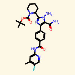 Cc1cc(NC(=O)c2ccc(-c3nc(C4CCCCN4C(=O)OC(C)(C)C)n(N)c3C(N)=O)cc2)ncc1F